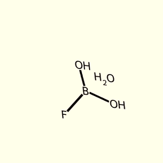 O.OB(O)F